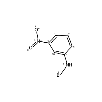 O=[N+]([O-])c1cccc(NBr)c1